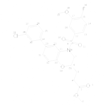 COC(=O)CC[C@H]1CN(S(=O)(=O)c2ccc(F)c(OC)c2)c2cc(-c3cccc(Cl)c3)ccc2O1